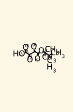 CC(C)C(C)(C)OC(=O)C(=O)C(=O)C(=O)O